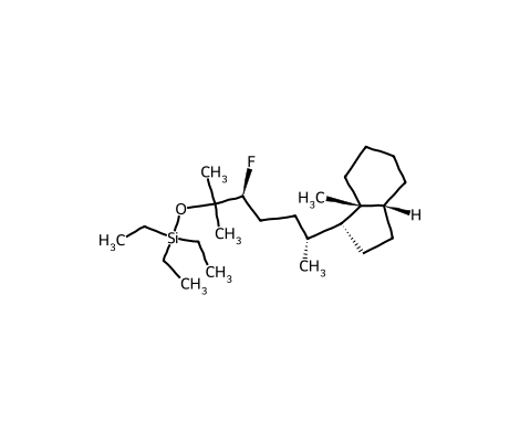 CC[Si](CC)(CC)OC(C)(C)[C@@H](F)CC[C@@H](C)[C@H]1CC[C@H]2CCCC[C@]21C